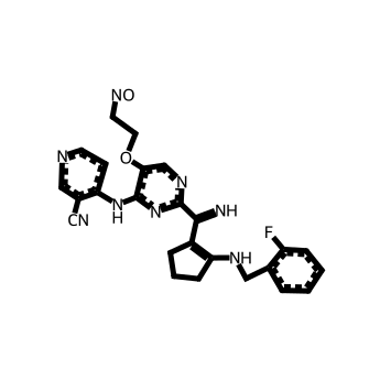 N#Cc1cnccc1Nc1nc(C(=N)C2=C(NCc3ccccc3F)CCC2)ncc1OCCN=O